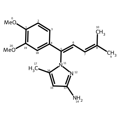 COc1ccc(/C(=C/C=C(C)C)n2nc(N)cc2C)cc1OC